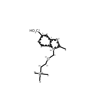 Cc1nc2cc(C(=O)O)ccc2n1COCC[Si](C)(C)C